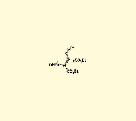 CCCCCCC(C(=O)OCC)=C(CC(C)C)C(=O)OCC